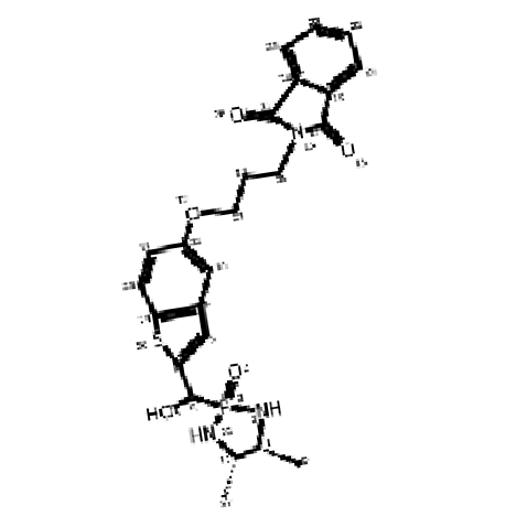 C[C@@H]1NP(=O)(C(O)c2cc3cc(OCCCN4C(=O)c5ccccc5C4=O)ccc3s2)N[C@H]1C